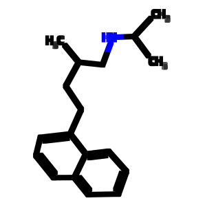 CC(CCc1cccc2ccccc12)CNC(C)C